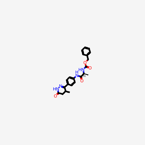 CC1CC(=O)NN=C1c1ccc(NC(=O)[C@H](C)NC(=O)OCc2ccccc2)cc1